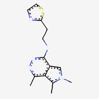 Cc1nnc(NCCc2nccs2)c2cn(C)c(C)c12